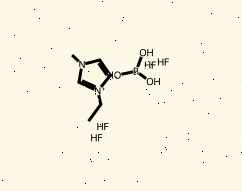 CC[n+]1ccn(C)c1.F.F.F.F.OB(O)O